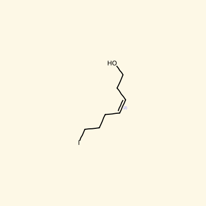 OCC/C=C\CCCI